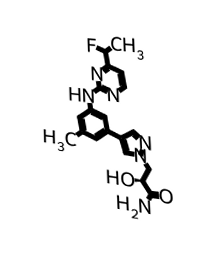 Cc1cc(Nc2nccc(C(C)F)n2)cc(-c2cnn(C[C@H](O)C(N)=O)c2)c1